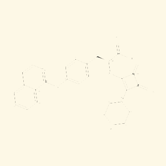 O=C(O)[C@H](Cc1ccc(Nc2nccc3ccccc23)cc1)Nc1c(N2CCOCC2)c(=O)c1=O